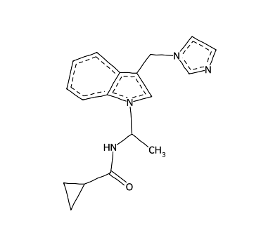 CC(NC(=O)C1CC1)n1cc(Cn2ccnc2)c2ccccc21